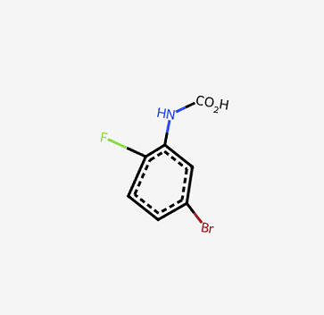 O=C(O)Nc1cc(Br)ccc1F